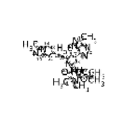 Cc1nn(C)c2c(-c3cc(C#Cc4ccn5c(C)ncc5c4)nc(NC(=O)C(C)N(C)C(=O)OC(C)(C)C)c3)ncnc12